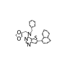 C1=C(CN(Cc2ccccc2)c2ncnc3cc(-c4cccc5ccccc45)sc23)OCO1